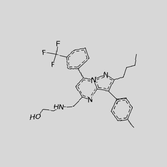 CCCCc1nn2c(-c3cccc(C(F)(F)F)c3)cc(CNCCO)nc2c1-c1ccc(C)cc1